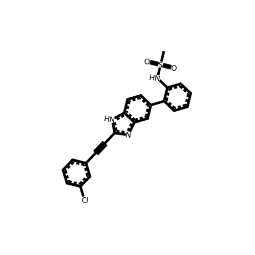 CS(=O)(=O)Nc1ccccc1-c1ccc2[nH]c(C#Cc3cccc(Cl)c3)nc2c1